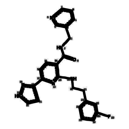 O=C(NCc1cccnc1)c1ccc(-c2cc[nH]n2)nc1NCCc1cccc(F)c1